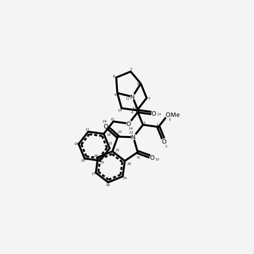 COC(=O)C(C1CC2CCC(C1)N2C(=O)OCc1ccccc1)N1C(=O)c2ccccc2C1=O